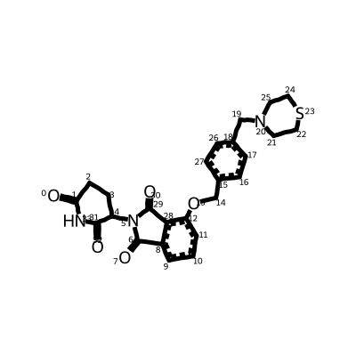 O=C1CCC(N2C(=O)c3cccc(OCc4ccc(CN5CCSCC5)cc4)c3C2=O)C(=O)N1